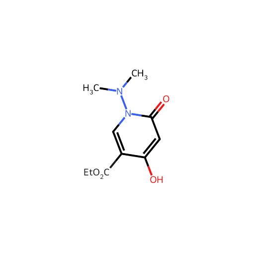 CCOC(=O)c1cn(N(C)C)c(=O)cc1O